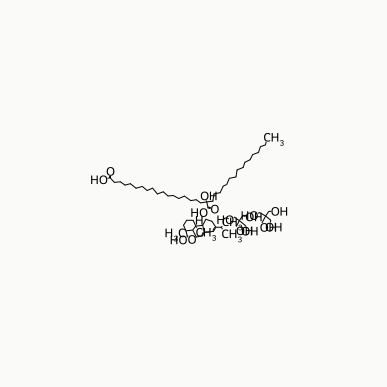 CC(C)C1=CC2=CCC3[C@](C)(C(=O)O)CCC[C@]3(C)[C@H]2CC1.CCCCCCCCCCCCCCCCC(O)(CCCCCCCCCCCCCCCCCC(=O)O)C(=O)O.OCC(CO)(CO)CO.OCC(CO)(CO)CO